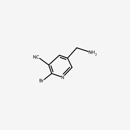 N#Cc1cc(CN)cnc1Br